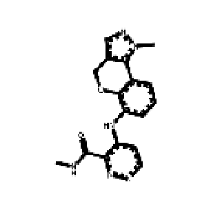 CNC(=O)c1nnccc1Nc1cccc2c1OCc1cnn(C)c1-2